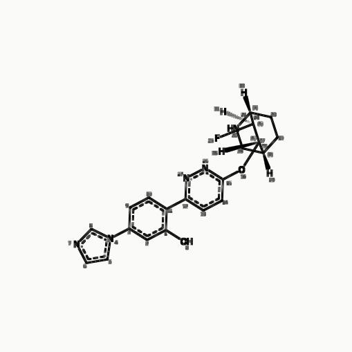 Oc1cc(-n2ccnc2)ccc1-c1ccc(O[C@H]2[C@@H]3CC[C@@H](NC3)[C@@H]2F)nn1